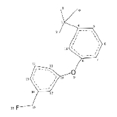 CC(C)(C)c1cccc(Oc2cccc(CF)c2)c1